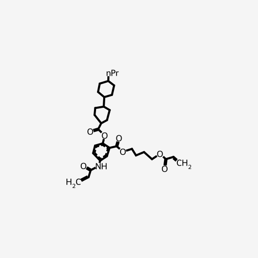 C=CC(=O)Nc1ccc(OC(=O)C2CCC(C3CCC(CCC)CC3)CC2)c(C(=O)OCCCCOC(=O)C=C)c1